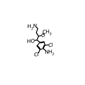 COC(CCN)C(O)c1cc(Cl)c(N)c(Cl)c1